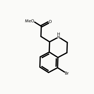 COC(=O)CC1NCCc2c(Br)cccc21